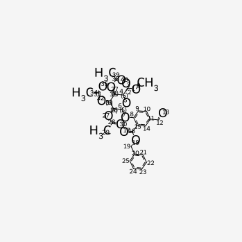 COC(=O)[C@H]1O[C@@H](Oc2ccc(C=O)cc2C(=O)OCc2ccccc2)[C@H](OC(C)=O)[C@@H](OC(C)=O)[C@H]1OC(C)=O